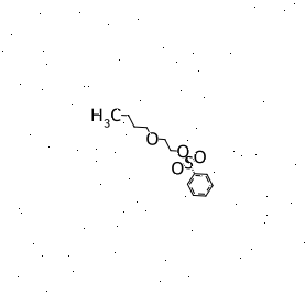 CCCCOCCOS(=O)(=O)c1ccccc1